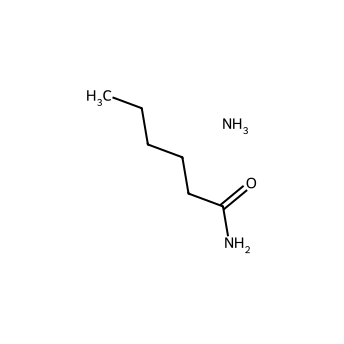 CCCCCC(N)=O.N